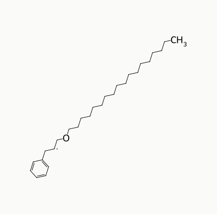 CCCCCCCCCCCCCCCCCCOC[CH]Cc1ccccc1